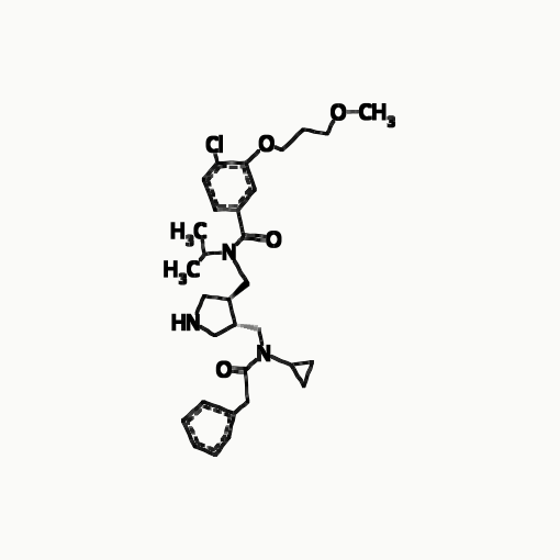 COCCCOc1cc(C(=O)N(C[C@@H]2CNC[C@H]2CN(C(=O)Cc2ccccc2)C2CC2)C(C)C)ccc1Cl